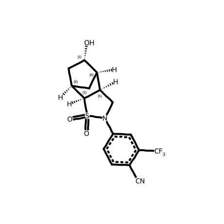 N#Cc1ccc(N2C[C@@H]3[C@H]4C[C@H](C[C@@H]4O)[C@@H]3S2(=O)=O)cc1C(F)(F)F